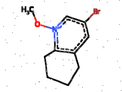 CO[n+]1cc(Br)cc2c1CCCC2